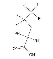 [2H]C([2H])(CC1(C(F)(F)F)CC1)C(=O)O